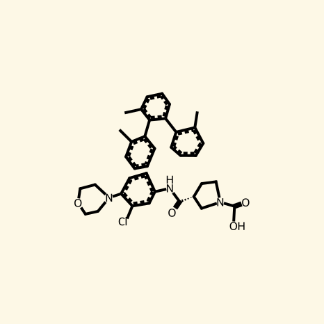 Cc1ccccc1-c1cccc(C)c1-c1ccccc1C.O=C(Nc1ccc(N2CCOCC2)c(Cl)c1)[C@@H]1CCN(C(=O)O)C1